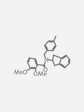 COc1cccc(C(=O)N(Cc2ccc(C)cc2)C2Cc3ccccc3C2)c1OC